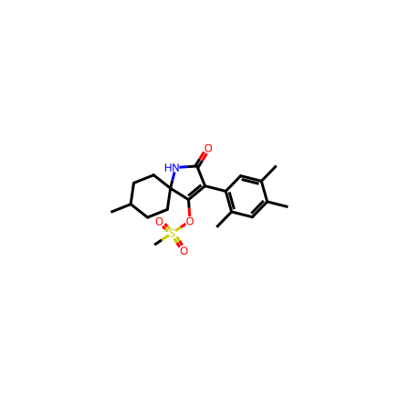 Cc1cc(C)c(C2=C(OS(C)(=O)=O)C3(CCC(C)CC3)NC2=O)cc1C